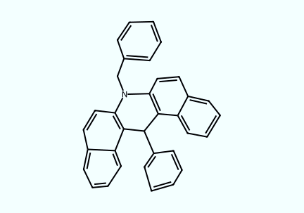 c1ccc(CN2c3ccc4ccccc4c3C(c3ccccc3)c3c2ccc2ccccc32)cc1